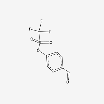 O=Cc1ccc(OS(=O)(=O)C(F)(F)F)cc1